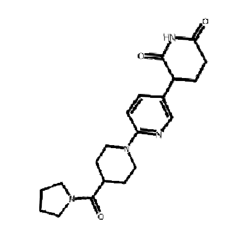 O=C1CCC(c2ccc(N3CCC(C(=O)N4CCCC4)CC3)nc2)C(=O)N1